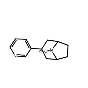 CN1C2CCC1CC(c1cccnc1)C2